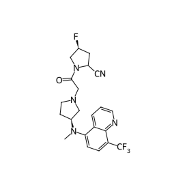 CN(c1ccc(C(F)(F)F)c2ncccc12)[C@H]1CCN(CC(=O)N2C[C@@H](F)CC2C#N)C1